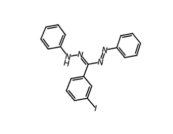 Ic1cccc(C(/N=N/c2ccccc2)=N\Nc2ccccc2)c1